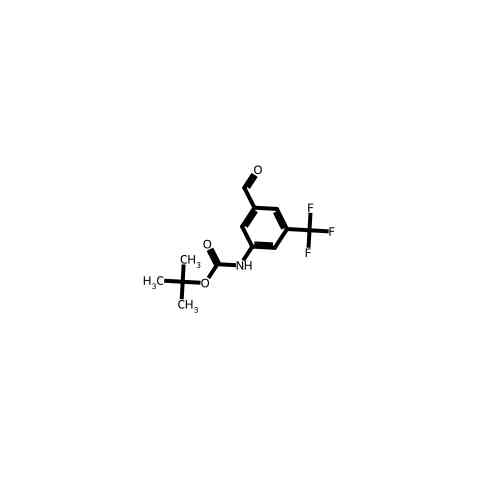 CC(C)(C)OC(=O)Nc1cc(C=O)cc(C(F)(F)F)c1